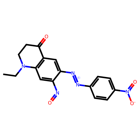 CCN1CCC(=O)c2cc(/N=N/c3ccc([N+](=O)[O-])cc3)c(N=O)cc21